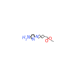 CCOC(=O)CC1CC2(C1)CN(c1ccc(N)cn1)C2